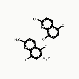 Cc1ccc2c(Cl)ccc([O-])c2n1.Cc1ccc2c(Cl)ccc([O-])c2n1.[Mg+2]